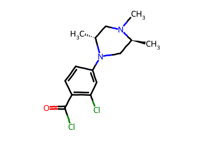 C[C@@H]1CN(C)[C@@H](C)CN1c1ccc(C(=O)Cl)c(Cl)c1